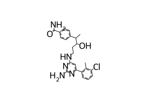 Cc1c(Cl)cccc1-c1cc(NCCC(O)C(C)c2ccc(C(N)=O)cc2)nc(N)n1